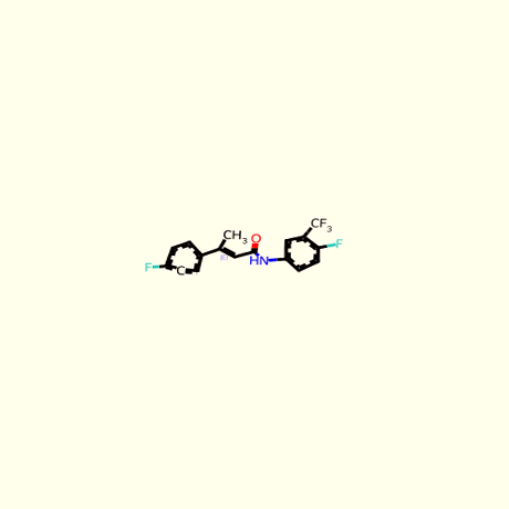 C/C(=C\C(=O)Nc1ccc(F)c(C(F)(F)F)c1)c1ccc(F)cc1